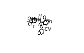 COC(C)(c1ccc(Nc2nn([C@H]3COCC[C@@H]3C#N)c3cc[nH]c(=O)c23)cc1)C(F)(F)F